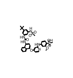 COc1cc(Nc2cc(Oc3ccc(NC(=O)Nc4cc(NS(C)(=O)=O)cc(C(C)(C)C)c4)c4ccccc34)ccn2)ccc1P(C)(=O)O